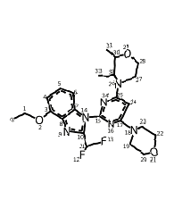 CCOc1cccc2c1nc(C(F)F)n2-c1nc(N2CCOCC2)cc(N2CCOC(C)C2C)n1